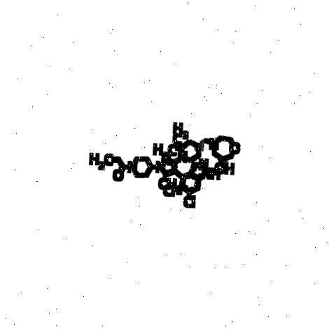 C=CC(=O)N1CCC(n2nc(N3CC[C@@H](CN4CCOC[C@@H](O)C4)CC3(C)C)c(-c3c(Cl)c(Cl)cc4[nH]ncc34)c2C)CC1